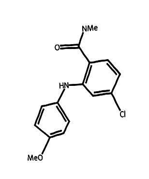 CNC(=O)c1ccc(Cl)cc1Nc1ccc(OC)cc1